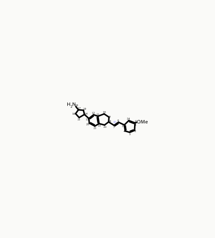 COc1cccc(/C=C/C2CCc3cc(C4CCC(N)C4)ccc3C2)c1